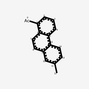 CC(=O)c1cccc2c1ccc1cc(C)ccc12